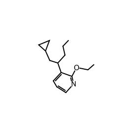 CCCC(CC1CC1)c1cccnc1OCC